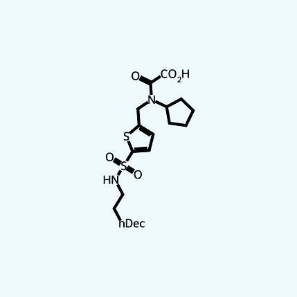 CCCCCCCCCCCCNS(=O)(=O)c1ccc(CN(C(=O)C(=O)O)C2CCCC2)s1